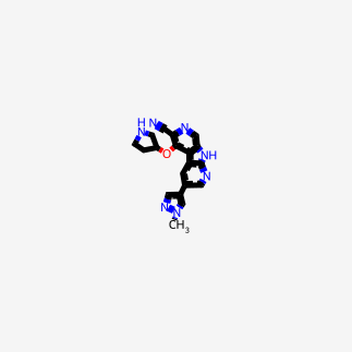 Cn1cc(-c2cnc3[nH]c4cnc(C#N)c(OC5CCNC5)c4c3c2)cn1